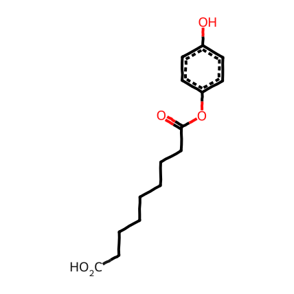 O=C(O)CCCCCCCC(=O)Oc1ccc(O)cc1